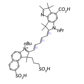 CCCC[N+]1=C(/C=C/C=C/C=C2/N(CCC)c3cc(C(=O)O)c4c(c3C2(C)C)N=C(C)C4(C)C)C(C)(CCCS(=O)(=O)O)c2c1ccc1ccc(S(=O)(=O)O)cc21